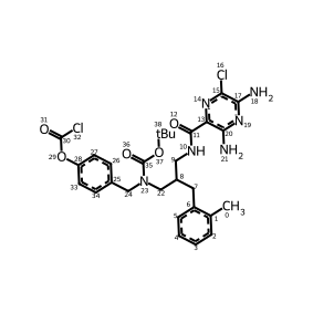 Cc1ccccc1CC(CNC(=O)c1nc(Cl)c(N)nc1N)CN(Cc1ccc(OC(=O)Cl)cc1)C(=O)OC(C)(C)C